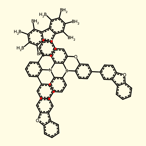 Bc1c(B)c(B)c2c(c1B)c1c(B)c(B)c(B)c(B)c1n2-c1cc2c3c(c1)N(c1c(-c4ccccc4)cccc1-c1ccccc1)c1cc(-c4ccc5oc6ccccc6c5c4)ccc1B3c1ccc(-c3ccc4oc5ccccc5c4c3)cc1O2